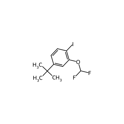 CC(C)(C)c1ccc(I)c(OC(F)F)c1